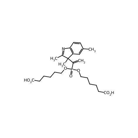 C=C(C1(C)C(C)=Nc2ccc(C)cc21)P(=O)(OCCCCCC(=O)O)OCCCCCC(=O)O